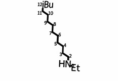 CCNCCCCCCCCCCC(C)CC